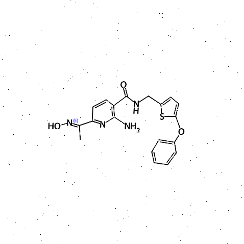 C/C(=N\O)c1ccc(C(=O)NCc2ccc(Oc3ccccc3)s2)c(N)n1